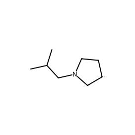 CC(C)CN1C[CH]CC1